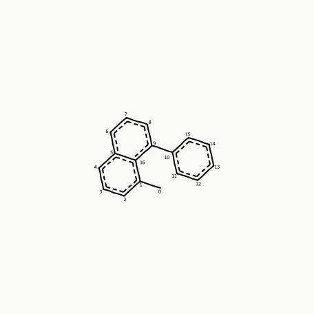 Cc1cccc2cccc(-c3ccccc3)c12